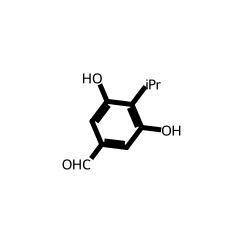 CC(C)c1c(O)cc(C=O)cc1O